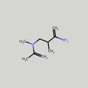 C=C(N)C(C)CN(C)C(=C)C